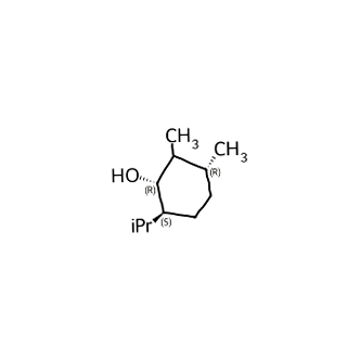 CC1[C@H](C)CC[C@@H](C(C)C)[C@@H]1O